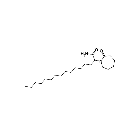 CCCCCCCCCCCCCCC(C(N)=O)N1CCCCCC1=O